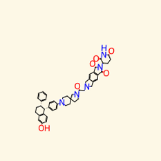 O=C1CC[C@@H](N2C(=O)c3cc4c(cc3C2=O)CN(CC(=O)N2CCC3(CCN(c5ccc([C@@H]6c7ccc(O)cc7CC[C@@H]6c6ccccc6)cc5)CC3)C2)C4)C(=O)N1